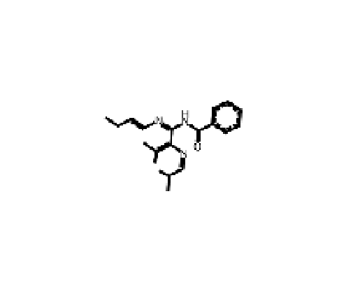 CC/C=C/N=C(/NC(=O)c1ccccc1)C(/N=C\C(C)C)=C(C)C